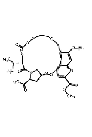 COC(=O)c1cc2c3cc(c(OC)cc3n1)CCCCCOC(=O)N[C@@H](C(C)C)C(=O)N1C[C@@H](C[C@H]1C(=O)O)O2